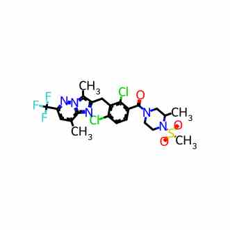 Cc1cc(C(F)(F)F)nn2c(C)c(Cc3c(Cl)ccc(C(=O)N4CCN(S(C)(=O)=O)C(C)C4)c3Cl)nc12